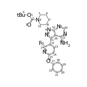 CC(C)(C)OC(=O)N1CCC[C@H](n2nc(-c3ccc(Oc4ccccc4)nc3F)c3c(N)ncnc32)C1